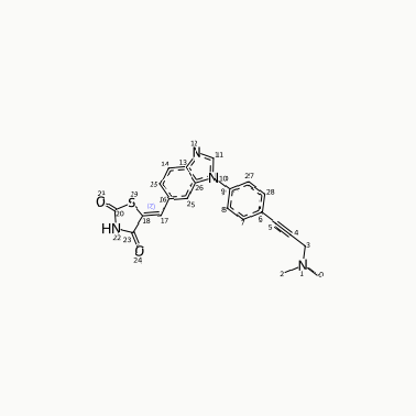 CN(C)CC#Cc1ccc(-n2cnc3ccc(/C=C4\SC(=O)NC4=O)cc32)cc1